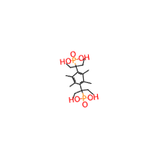 CCC(CC)(c1c(C)c(C)c(C(CC)(CC)P(=O)(O)O)c(C)c1C)P(=O)(O)O